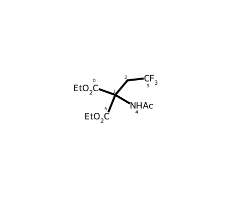 CCOC(=O)C(CC(F)(F)F)(NC(C)=O)C(=O)OCC